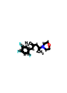 C=C(CC(=C)N1CCOCC1)Cc1cc(F)c(F)cc1F